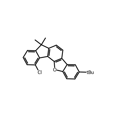 CC(C)(C)c1ccc2oc3c4c(ccc3c2c1)C(C)(C)c1cccc(Cl)c1-4